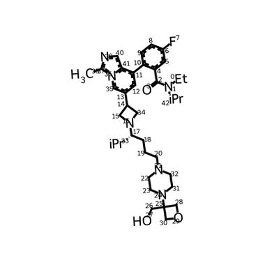 CCN(C(=O)c1cc(F)ccc1-c1cc(C2CN([C@H](CCCN3CCN(C4(CO)COC4)CC3)C(C)C)C2)cn2c(C)ncc12)C(C)C